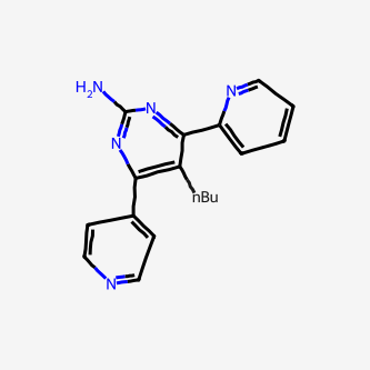 CCCCc1c(-c2ccncc2)nc(N)nc1-c1ccccn1